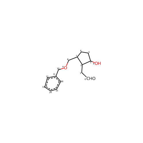 O=CCC1C(O)CCC1COCc1ccccc1